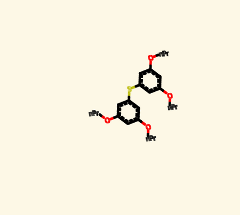 CCCOc1cc(OCCC)cc(Sc2cc(OCCC)cc(OCCC)c2)c1